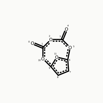 O=c1oc(=O)oc2ccc(o1)o2